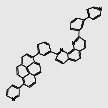 c1cc(-c2ccncc2)cc(-c2ccc3ccc4ccc(-c5cccc(-c6ccc7ccc8c(-c9cccnc9)ccc9ccc6c7c98)c5)nc4c3n2)c1